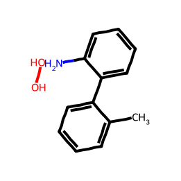 Cc1ccccc1-c1ccccc1N.OO